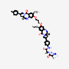 COc1cc2c(cc1OCCCOc1cc3c(cc1OC)C(=O)N1C=C(c4ccc(NC(=O)[C@H](C)NC(=O)[C@@H](N)C(C)C)cc4)C[C@H]1C=N3)N=C[C@@H]1CC(c3ccc(C)cc3)=CN1C2=O